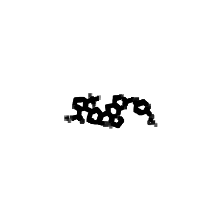 COc1ccc(Nc2ncc3c(n2)N2CCN=C2C(c2cc(-c4c(C(F)(F)F)ccnc4C(N)=O)ccc2C)=C3)cn1